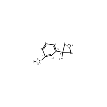 Cc1cccc(C2(F)COC2)c1